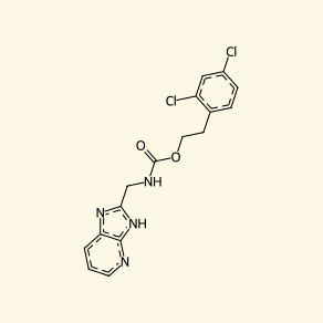 O=C(NCc1nc2cccnc2[nH]1)OCCc1ccc(Cl)cc1Cl